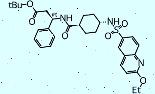 CCOc1ccc2cc(S(=O)(=O)N[C@H]3CC[C@H](C(=O)N[C@H](CC(=O)OC(C)(C)C)c4ccccc4)CC3)ccc2n1